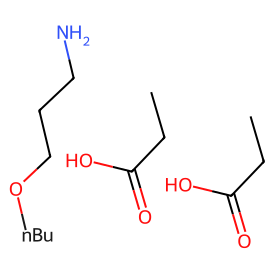 CCC(=O)O.CCC(=O)O.CCCCOCCCN